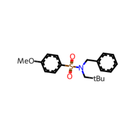 COc1ccc(S(=O)(=O)N(Cc2ccccc2)CC(C)(C)C)cc1